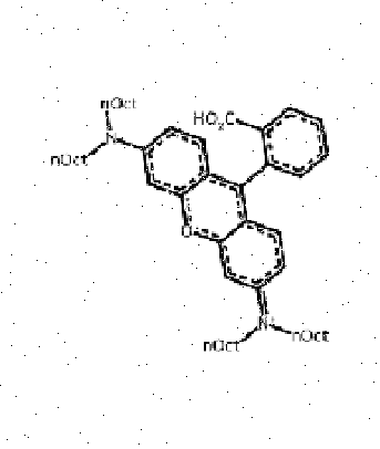 CCCCCCCCN(CCCCCCCC)c1ccc2c(-c3ccccc3C(=O)O)c3ccc(=[N+](CCCCCCCC)CCCCCCCC)cc-3oc2c1